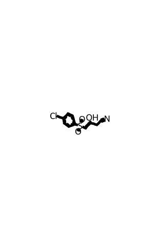 N#CCC(O)=CS(=O)(=O)c1ccc(Cl)cc1